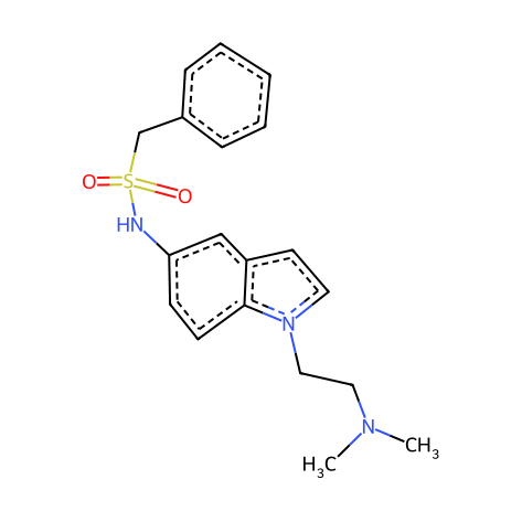 CN(C)CCn1ccc2cc(NS(=O)(=O)Cc3ccccc3)ccc21